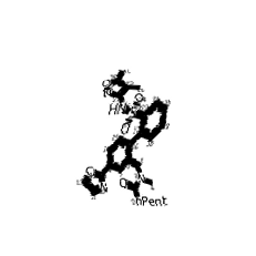 CCCCCC(=O)N(C)Cc1cc(-c2ncco2)ccc1-c1ccccc1S(=O)(=O)Nc1noc(C)c1C